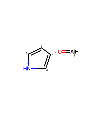 [O]=[AlH].c1cc[nH]c1